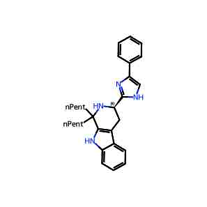 CCCCCC1(CCCCC)N[C@@H](c2nc(-c3ccccc3)c[nH]2)Cc2c1[nH]c1ccccc21